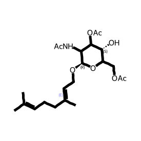 CC(=O)NC1C(OC(C)=O)[C@H](O)C(COC(C)=O)O[C@H]1OC/C=C(\C)CCC=C(C)C